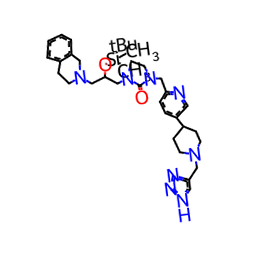 CC(C)(C)[Si](C)(C)OC(CN1CCc2ccccc2C1)CN1CCN(Cc2ccc(C3CCN(Cc4c[nH]nn4)CC3)cn2)C1=O